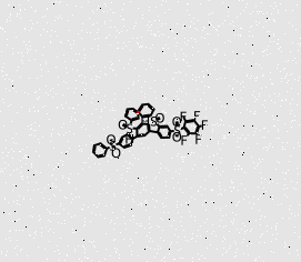 O=S(=O)(c1ccccc1)c1ccc2c(c1)[SH](=O)(c1ccccc1)c1cc3c(cc1-2)-c1ccc(S(=O)(=O)c2c(F)c(F)c(F)c(F)c2F)cc1[SH]3(=O)c1ccccc1